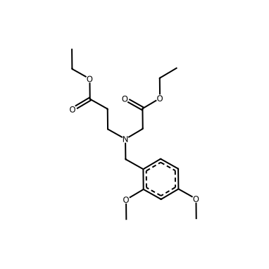 CCOC(=O)CCN(CC(=O)OCC)Cc1ccc(OC)cc1OC